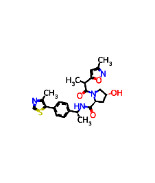 Cc1cc(C(C)C(=O)N2C[C@H](O)C[C@H]2C(=O)N[C@@H](C)c2ccc(-c3scnc3C)cc2)on1